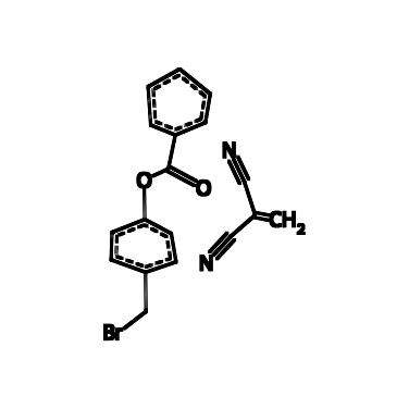 C=C(C#N)C#N.O=C(Oc1ccc(CBr)cc1)c1ccccc1